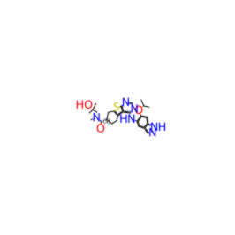 CC(C)Oc1cc2[nH]ncc2cc1Nc1ncnc2sc3c(c12)CC[C@H](C(=O)N(C)CC(C)(C)O)C3